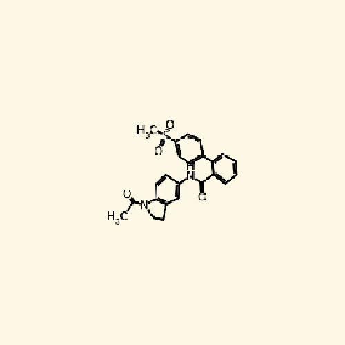 CC(=O)N1CCc2cc(NC(=O)c3ccccc3-c3ccc(S(C)(=O)=O)cc3)ccc21